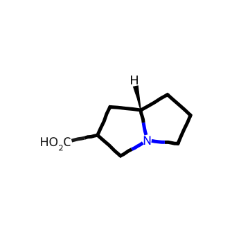 O=C(O)C1C[C@@H]2CCCN2C1